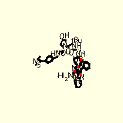 Cc1ncsc1-c1ccc(CNC(=O)[C@@H]2C[C@@H](O)CN2C(=O)[C@@H](NC(=O)N[C@H]2CC[C@H](c3cnc(N4C5CCC4CN(c4cc(-c6ccccc6O)nnc4N)C5)nc3)CC2)C(C)(C)C)cc1